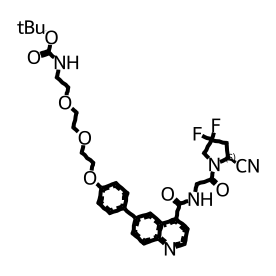 CC(C)(C)OC(=O)NCCOCCOCCOc1ccc(-c2ccc3nccc(C(=O)NCC(=O)N4CC(F)(F)C[C@H]4C#N)c3c2)cc1